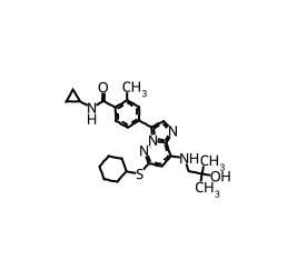 Cc1cc(-c2cnc3c(NCC(C)(C)O)cc(SC4CCCCC4)nn23)ccc1C(=O)NC1CC1